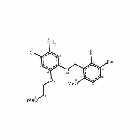 COCCOc1cc(Cl)c(N)cc1OCc1c(OC)ccc(F)c1F